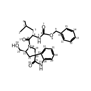 CC(C)C[C@H](NC(=O)OCc1ccccc1)C(=O)N1C[C@]2(C[C@H]1CO)C(=O)Nc1ccccc12